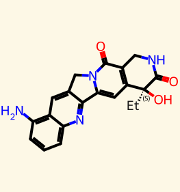 CC[C@@]1(O)C(=O)NCc2c1cc1n(c2=O)Cc2cc3c(N)cccc3nc2-1